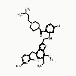 COc1cc(Cc2cnc(N)nc2N)c2cc(CNc3cc(Cl)ccc3C(=O)N3CCN(CCN(C)C)CC3)oc2c1OC